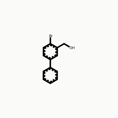 OCc1cc(-c2ccccc2)ccc1Br